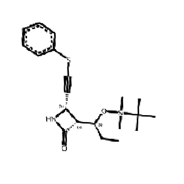 CC[C@H](O[Si](C)(C)C(C)(C)C)[C@@H]1C(=O)N[C@@H]1C#CSc1ccccc1